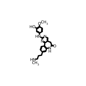 CNCCCc1ccc2c(c1)NC(=O)Cc1cnc(Nc3ccc(OC)c(O)c3)nc1-2